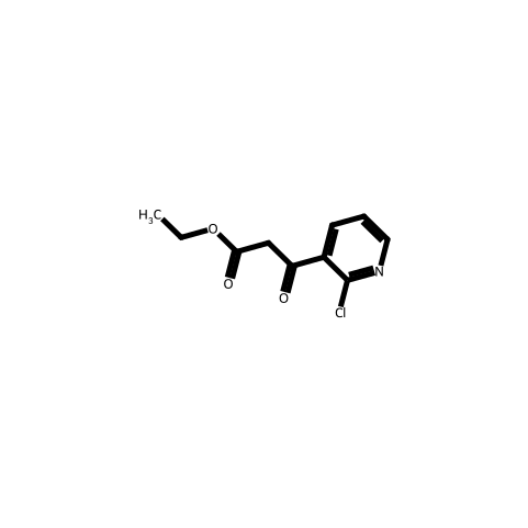 CCOC(=O)CC(=O)c1cccnc1Cl